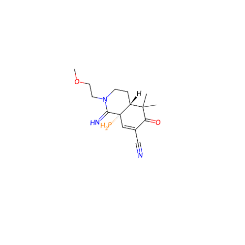 COCCN1CC[C@@H]2C(C)(C)C(=O)C(C#N)=C[C@@]2(P)C1=N